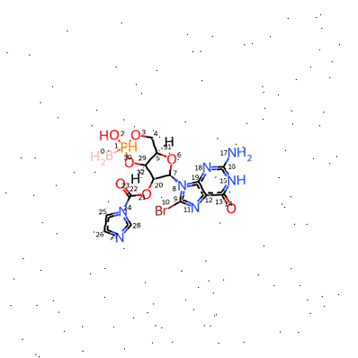 B[PH]1(O)OC[C@H]2O[C@@H](n3c(Br)nc4c(=O)[nH]c(N)nc43)C(OC(=O)n3ccnc3)[C@H]2O1